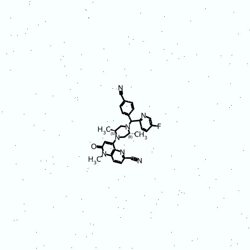 C[C@@H]1CN(c2cc(=O)n(C)c3ccc(C#N)nc23)[C@@H](C)CN1C(c1ccc(C#N)cc1)c1ccc(F)cn1